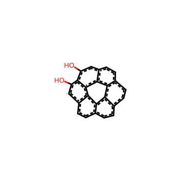 Oc1[c]c2ccc3ccc4ccc5ccc6cc(O)c1c1c2c3c4c5c61